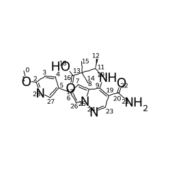 COc1ccc(-c2cc3c(N[C@H](C)C(C)(C)C(=O)O)c(C(N)=O)cnn3c2)cn1